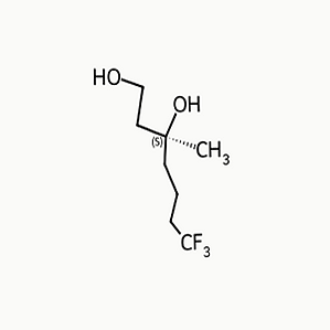 C[C@@](O)(CCO)CCCC(F)(F)F